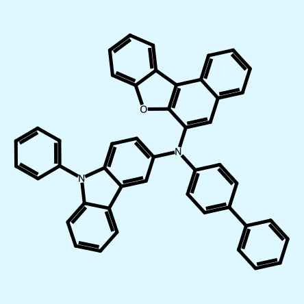 c1ccc(-c2ccc(N(c3ccc4c(c3)c3ccccc3n4-c3ccccc3)c3cc4ccccc4c4c3oc3ccccc34)cc2)cc1